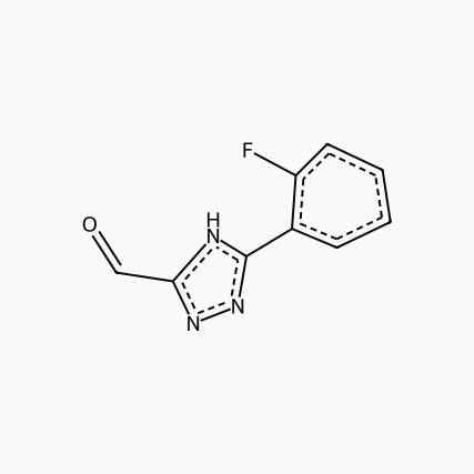 O=Cc1nnc(-c2ccccc2F)[nH]1